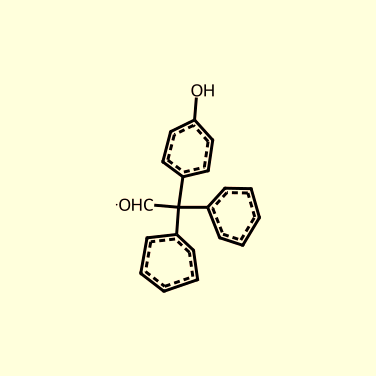 O=[C]C(c1ccccc1)(c1ccccc1)c1ccc(O)cc1